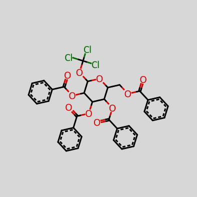 O=C(OCC1OC(OC(Cl)(Cl)Cl)C(OC(=O)c2ccccc2)C(OC(=O)c2ccccc2)C1OC(=O)c1ccccc1)c1ccccc1